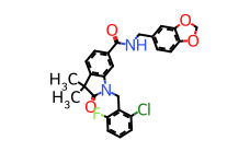 CC1(C)C(=O)N(Cc2c(F)cccc2Cl)c2cc(C(=O)NCc3ccc4c(c3)OCO4)ccc21